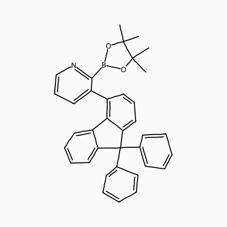 CC1(C)OB(c2ncccc2-c2cccc3c2-c2ccccc2C3(c2ccccc2)c2ccccc2)OC1(C)C